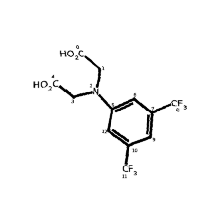 O=C(O)CN(CC(=O)O)c1cc(C(F)(F)F)cc(C(F)(F)F)c1